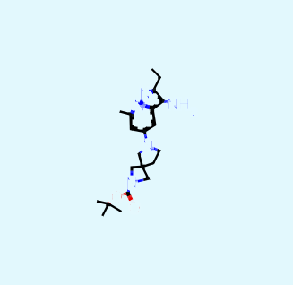 CCc1nn2c(C)cc(N3CCC4(CN(C(=O)OC(C)(C)C)C4)C3)cc2c1N